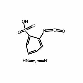 O=C=Nc1ccccc1S(=O)(=O)O.[N-]=[N+]=N